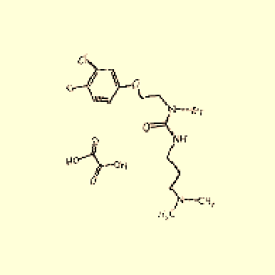 CC(C)N(CCOc1ccc(Cl)c(Cl)c1)C(=O)NCCCN(C)C.O=C(O)C(=O)O